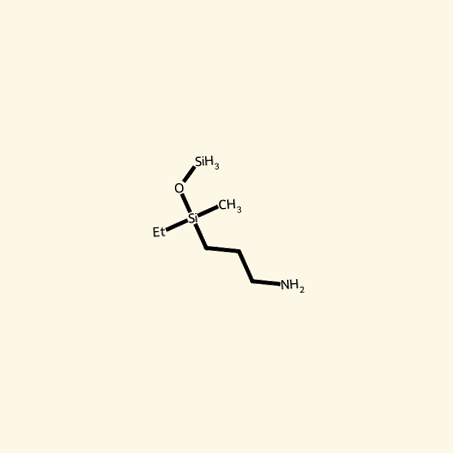 CC[Si](C)(CCCN)O[SiH3]